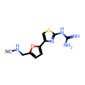 N#CNCc1ccc(-c2csc(NC(=N)N)n2)o1